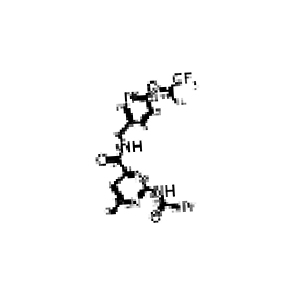 Cc1cc(C(=O)NCc2ccc(OC(C)C(F)(F)F)nc2)nc(NC(=O)C(C)C)n1